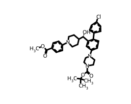 COC(=O)c1ccc(N2CCC([C@H](O)c3cc(N4CCN(C(=O)OC(C)(C)C)CC4)ccc3-c3ccc(Cl)cc3)CC2)cc1